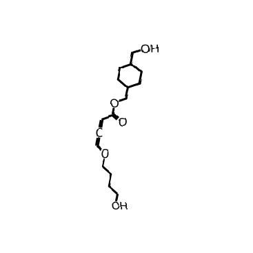 O=C(C=C=COCCCCO)OCC1CCC(CO)CC1